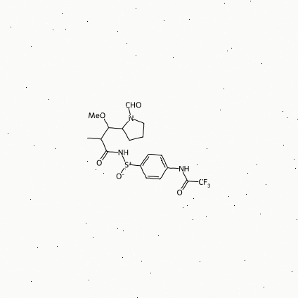 COC(C(C)C(=O)N[S+]([O-])c1ccc(NC(=O)C(F)(F)F)cc1)C1CCCN1C=O